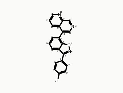 Fc1ccc(-c2noc3c(-c4cncc5ncccc45)cccc23)cc1